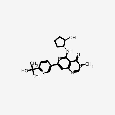 Cn1cnc2cc(-c3ccc(C(C)(C)O)nc3)nc(N[C@@H]3CCC[C@H]3O)c2c1=O